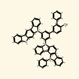 N#Cc1ccc(-c2cc(-n3c4ccccc4c4cc5c(cc43)oc3ccccc35)cc(-n3c4ccccc4c4c3ccc3c5ccccc5n(-c5ccccc5)c34)c2)cc1-c1ccccc1